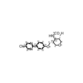 O=C(O)N[C@H]1CCOC[C@@H]1COc1ccc(-c2ncc(Cl)cn2)cc1